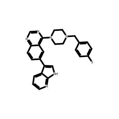 Fc1ccc(CN2CCN(c3ncnc4ccc(-c5c[nH]c6ncccc56)cc34)CC2)cc1